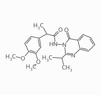 COc1ccc(C(C)C(=O)Nn2c(C(C)C)nc3ccccc3c2=O)cc1OC